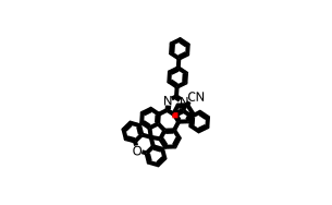 N#Cc1ccc(-c2cccc3c2-c2c(-c4cc(-c5ccccc5)nc(-c5ccc(-c6ccccc6)cc5)n4)cccc2C32c3ccccc3Oc3ccccc32)cc1